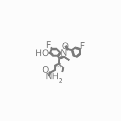 CC[C@@H](CCC(N)=O)c1c(C)n(C(=O)c2cccc(F)c2)c2cc(F)c(O)cc12